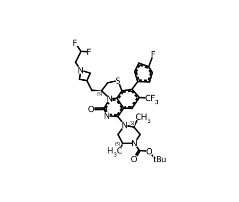 C[C@H]1CN(c2nc(=O)n3c4c(c(-c5ccc(F)cc5)c(C(F)(F)F)cc24)SC[C@@H]3CC2CN(CC(F)F)C2)[C@@H](C)CN1C(=O)OC(C)(C)C